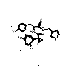 O=C(NCC1CCNC1)[C@H](Cc1ccc(C(F)(F)F)cc1)NC(=O)C1(c2ccc(Cl)cc2Cl)CC1